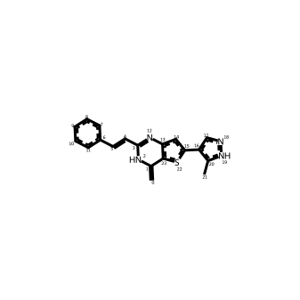 C=C1NC(/C=C/c2ccccc2)=Nc2cc(-c3cn[nH]c3C)sc21